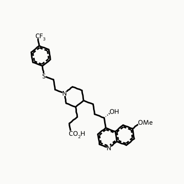 COc1ccc2nccc([C@@H](O)CCC3CCN(CCSc4ccc(C(F)(F)F)cc4)CC3CCC(=O)O)c2c1